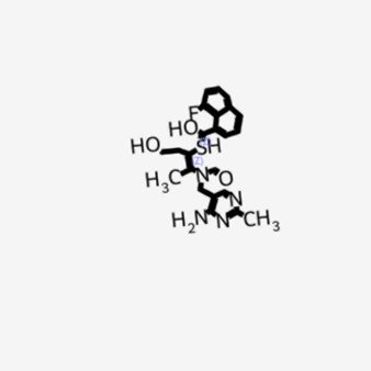 C/C(=C(CCO)/[SH]=C(\O)c1cccc2cccc(F)c12)N(C=O)Cc1cnc(C)nc1N